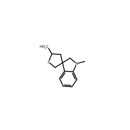 CN1CC2(CSC(C(=O)O)C2)c2ccccc21